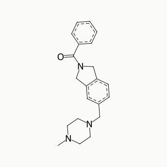 CN1CCN(Cc2ccc3c(c2)CN(C(=O)c2ccccc2)C3)CC1